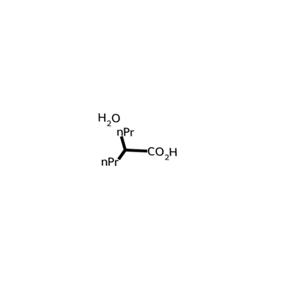 CCCC(CCC)C(=O)O.O